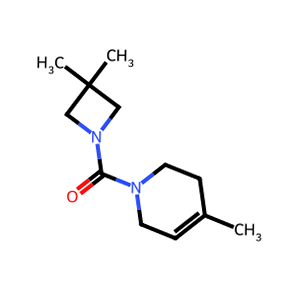 CC1=CCN(C(=O)N2CC(C)(C)C2)CC1